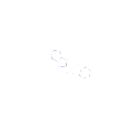 CCOc1nc(F)c(Cl)c2nc(S(=O)(=O)Nc3c(Cl)cccc3Cl)nn12